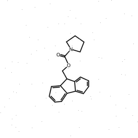 O=C(OCC1c2ccccc2-c2ccccc21)N1CCCC1